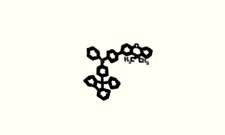 CC1(C)c2ccccc2Oc2ccc(-c3ccc(N(c4ccccc4)c4ccc(C5(c6ccccc6)c6ccccc6-c6ccccc65)cc4)cc3)cc21